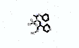 CCS(=O)(=O)N(/C=C(\C=N\C#N)c1ccncc1)/C(C)=N\c1ccccc1